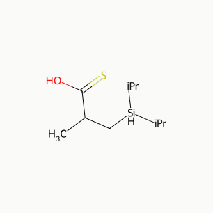 CC(C[SiH](C(C)C)C(C)C)C(O)=S